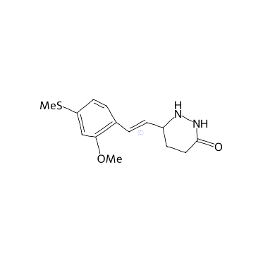 COc1cc(SC)ccc1/C=C/C1CCC(=O)NN1